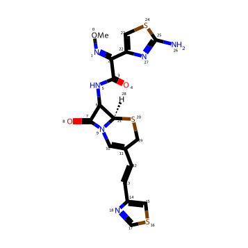 CON=C(C(=O)NC1C(=O)N2C=C(C=Cc3cscn3)CS[C@H]12)c1csc(N)n1